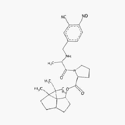 CC(NCc1ccc(N=O)c(C#N)c1)C(=O)N1CCCC1C(=O)OC1CCC2CCC3(C)C(C)(C)C213